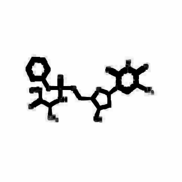 COC(=O)[C@H](C)NP(=O)(OC[C@H]1O[C@@H](n2cc(C(F)(F)F)c(=O)[nH]c2=O)C[C@H]1O)Oc1ccccc1